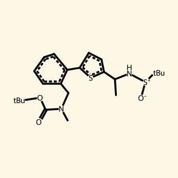 CC(N[S+]([O-])C(C)(C)C)c1ccc(-c2ccccc2CN(C)C(=O)OC(C)(C)C)s1